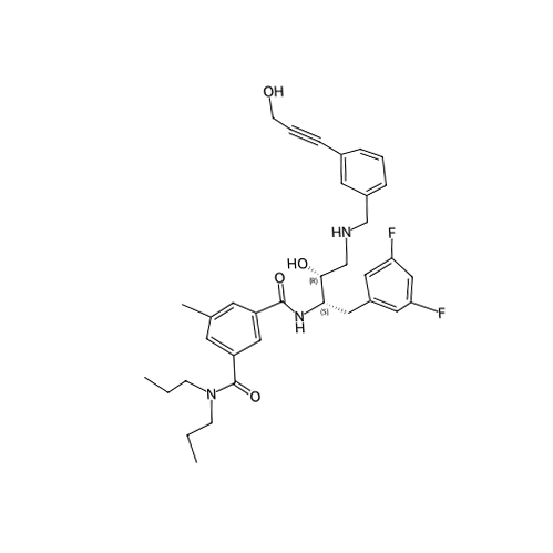 CCCN(CCC)C(=O)c1cc(C)cc(C(=O)N[C@@H](Cc2cc(F)cc(F)c2)[C@H](O)CNCc2cccc(C#CCO)c2)c1